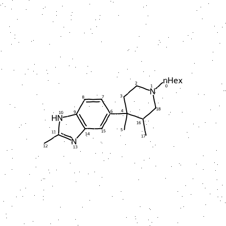 CCCCCCN1CCC(C)(c2ccc3[nH]c(C)nc3c2)C(C)C1